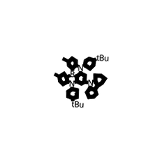 Cc1ccc2c(c1)B1c3cc(C)ccc3N(c3ccc(C(C)(C)C)cc3)c3cc(-n4c5ccccc5c5ccccc54)cc(c31)N2c1ccc(C(C)(C)C)cc1